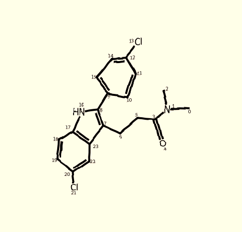 CN(C)C(=O)CCc1c(-c2ccc(Cl)cc2)[nH]c2ccc(Cl)cc12